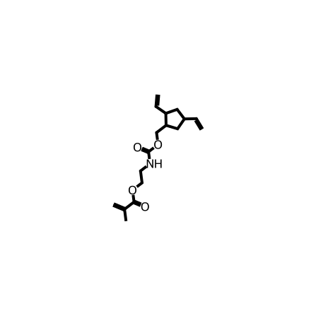 C=CC1CC(C=C)C(COC(=O)NCCOC(=O)C(=C)C)C1